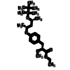 CCOC(=O)[C@H](Cc1ccc(O[C@H](C)C[C@@H](C)O[Si](C)(C)C(C)(C)C)cc1)OC